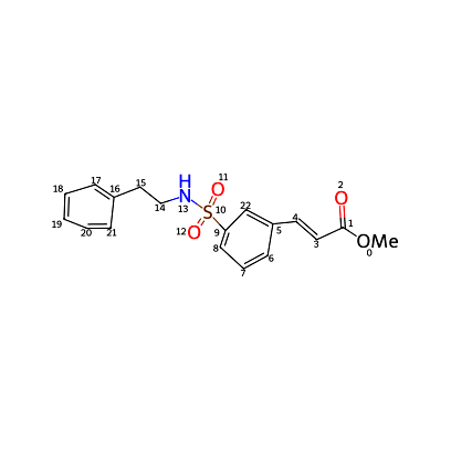 COC(=O)C=Cc1cccc(S(=O)(=O)NCCc2ccccc2)c1